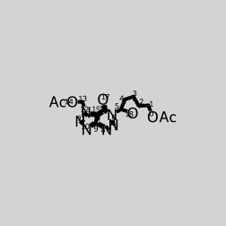 CC(=O)OCC1[CH][CH]C(n2nnc3nnn(COC(C)=O)c3c2=O)O1